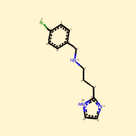 Brc1ccc(CNCCCc2ncc[nH]2)cc1